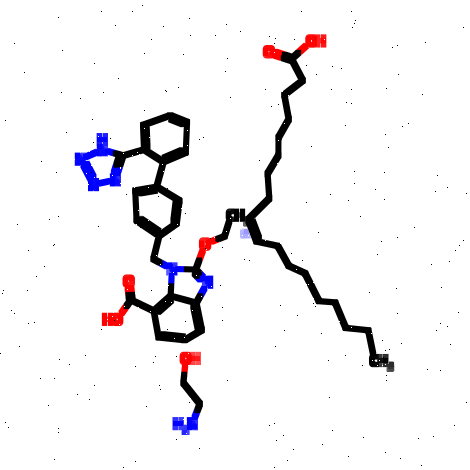 CCCCCCCC/C=C\CCCCCCCC(=O)O.CCOc1nc2cccc(C(=O)O)c2n1Cc1ccc(-c2ccccc2-c2nnn[nH]2)cc1.NCCO